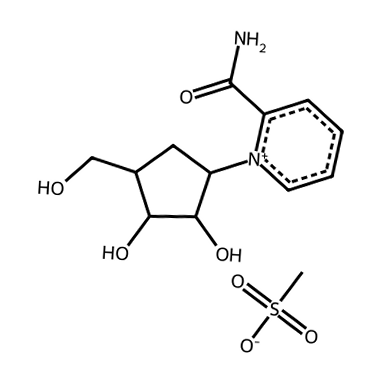 CS(=O)(=O)[O-].NC(=O)c1cccc[n+]1C1CC(CO)C(O)C1O